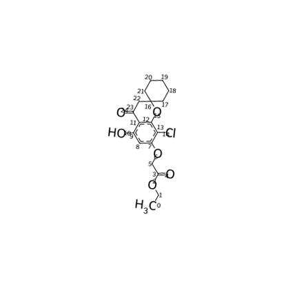 CCOC(=O)COc1cc(O)c2c(c1Cl)OC1(CCCCC1)CC2=O